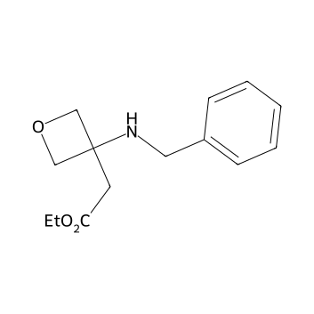 CCOC(=O)CC1(NCc2ccccc2)COC1